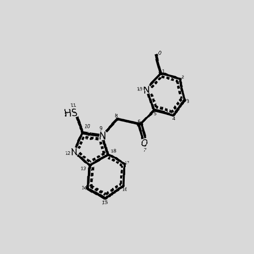 Cc1cccc(C(=O)Cn2c(S)nc3ccccc32)n1